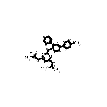 Cc1ccc(C2=CC(c3ccccc3)N(CC3OC(CC(C)C)CC(CC(C)C)O3)C=C2)cc1